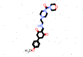 COc1ccc(C2CC(=O)C(=CNCCN3CCN(C(=O)N4CCOCC4)CC3)C(=O)C2)cc1